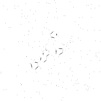 CC(C)(C)NS(=O)(=O)c1ccc(Nc2nc(COCc3ccccc3)nc3cc(-c4ncccc4C(F)(F)F)ccc23)cc1